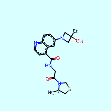 CCC1(O)CN(c2ccc3nccc(C(=O)NCC(=O)N4CSC[C@H]4C#N)c3c2)C1